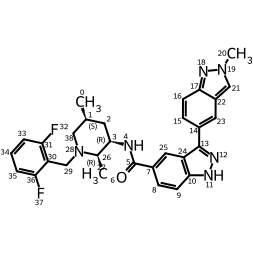 C[C@H]1C[C@@H](NC(=O)c2ccc3[nH]nc(-c4ccc5nn(C)cc5c4)c3c2)[C@@H](C)N(Cc2c(F)cccc2F)C1